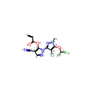 C=CC(=O)Oc1c(C#N)cnn1-c1nn(C)c(OC(F)F)c1Cl